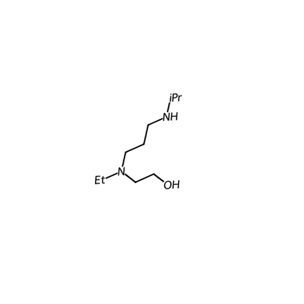 CCN(CCO)CCCNC(C)C